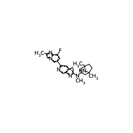 Cc1cn2cc(-c3cc4sc(N(C)C5CC6(C)CCC(C)(C5)N6)nc4cn3)cc(F)c2n1